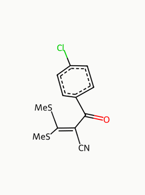 CSC(SC)=C(C#N)C(=O)c1ccc(Cl)cc1